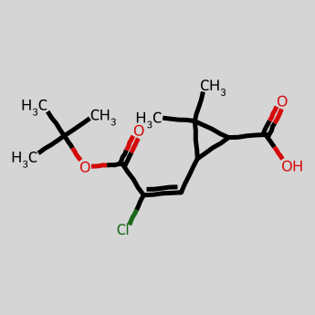 CC(C)(C)OC(=O)/C(Cl)=C\C1C(C(=O)O)C1(C)C